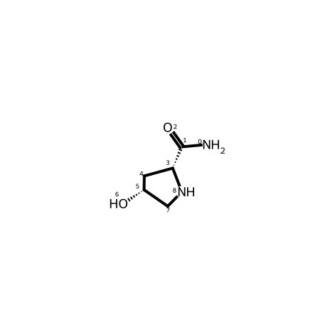 NC(=O)[C@H]1C[C@@H](O)CN1